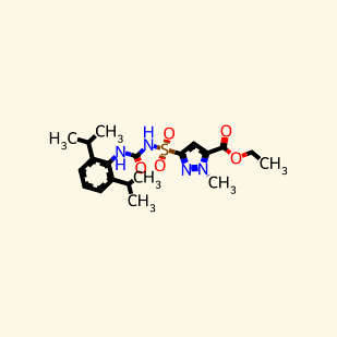 CCOC(=O)c1cc(S(=O)(=O)NC(=O)Nc2c(C(C)C)cccc2C(C)C)nn1C